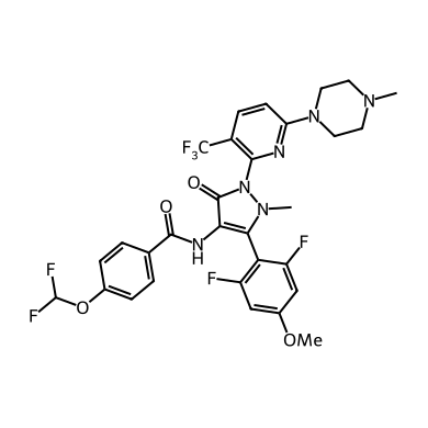 COc1cc(F)c(-c2c(NC(=O)c3ccc(OC(F)F)cc3)c(=O)n(-c3nc(N4CCN(C)CC4)ccc3C(F)(F)F)n2C)c(F)c1